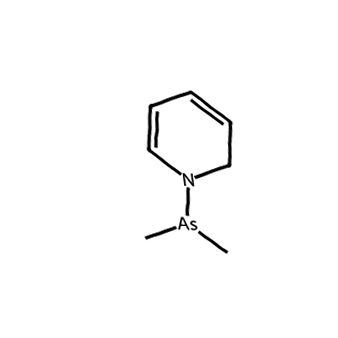 C[As](C)N1C=CC=CC1